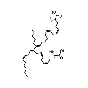 CCCCC/C=C\C/C=C(C/C=C\C/C=C\CCC(NC)C(=O)O)/C(=C/C/C=C\C/C=C\C/C=C\CCC(SC)C(=O)O)CCCCC